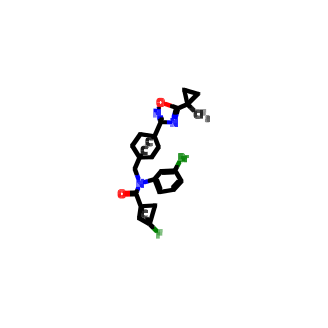 O=C(N(CC12CCC(c3noc(C4(C(F)(F)F)CC4)n3)(CC1)CC2)c1cccc(Br)c1)C12CC(F)(C1)C2